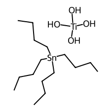 CCC[CH2][Sn]([CH2]CCC)([CH2]CCC)[CH2]CCC.[OH][Ti]([OH])([OH])[OH]